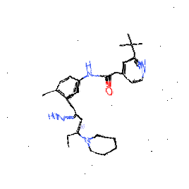 CC/C(=C\C(=N)c1cc(NC(=O)c2ccnc(C(C)(C)C)c2)ccc1C)N1CCCCC1